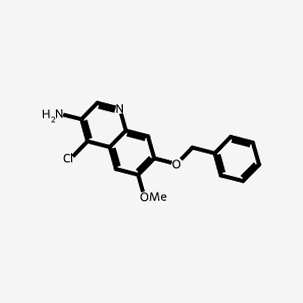 COc1cc2c(Cl)c(N)cnc2cc1OCc1ccccc1